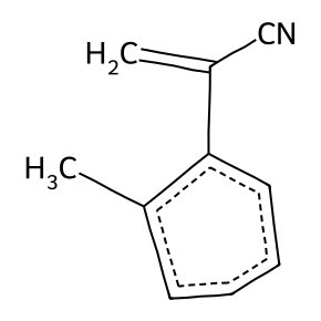 C=C(C#N)c1ccccc1C